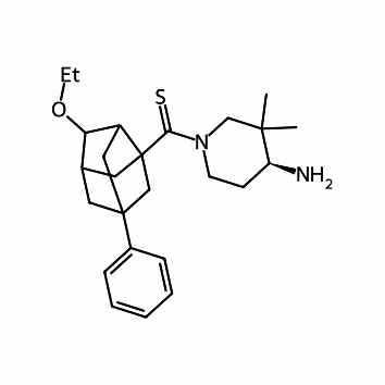 CCOC1C2CC3(c4ccccc4)CC1C(C(=S)N1CC[C@H](N)C(C)(C)C1)(C2)C3